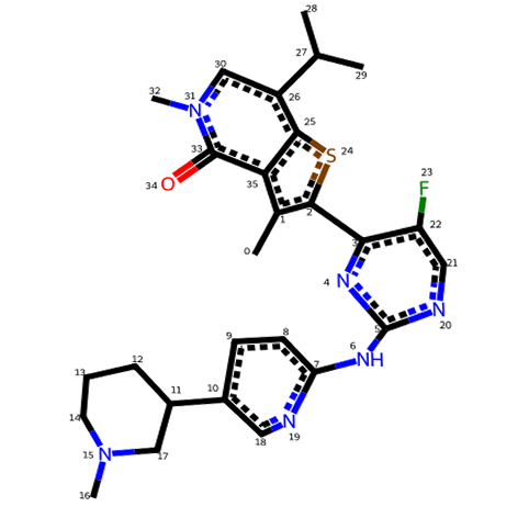 Cc1c(-c2nc(Nc3ccc(C4CCCN(C)C4)cn3)ncc2F)sc2c(C(C)C)cn(C)c(=O)c12